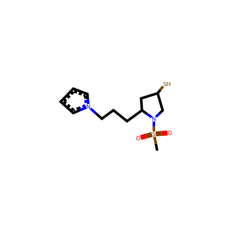 CS(=O)(=O)N1CC(S)CC1CCCn1cccc1